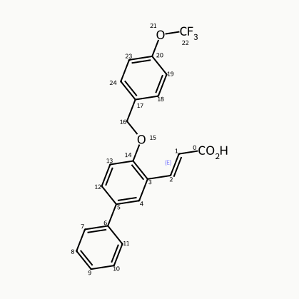 O=C(O)/C=C/c1cc(-c2ccccc2)ccc1OCc1ccc(OC(F)(F)F)cc1